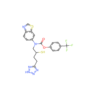 O=C(Oc1ccc(C(F)(F)F)cc1)N(CC(S)CCc1nn[nH]n1)c1ccc2ncsc2c1